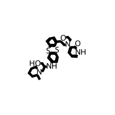 CC1CCCCN1CC(CO)Nc1ccc2c(c1)Sc1cccc(C3CN(c4ccc[nH]c4=O)CCO3)c1S2